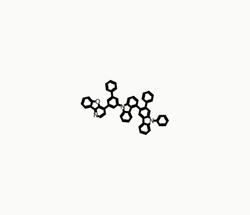 c1ccc(-c2cc(-c3ccnc4c3oc3ccccc34)cc(-n3c4ccccc4c4c(-c5cc6c7ccccc7n(-c7ccccc7)c6cc5-c5ccccc5)cccc43)c2)cc1